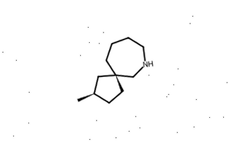 C[C@@H]1CC[C@]2(CCCCNC2)C1